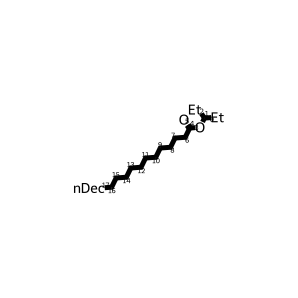 [CH2]CC(CC)OC(=O)CCCCCCCCCCCCCCCCCCCCC